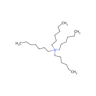 CCCCCCC[N+](CCCCCC)(CCCCCC)CCCCCC